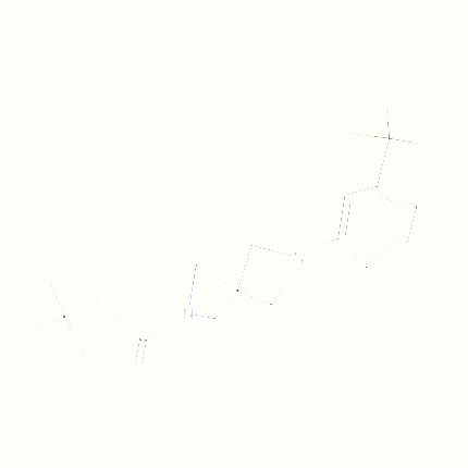 CC(C)(C)OC(=O)N1CC2(C1)CN(c1cccc(C(F)(F)F)c1)C2